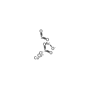 CC(=O)[O-].O=S=O.O=S=O.[Cl-].[Cu+].[Cu+]